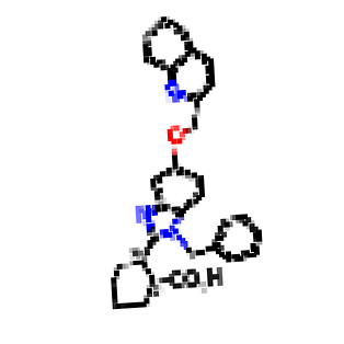 O=C(O)[C@H]1CCCC[C@H]1c1nc2cc(OCc3ccc4ccccc4n3)ccc2n1Cc1ccccc1